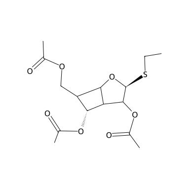 CCS[C@@H]1OC2C(COC(C)=O)[C@@H](OC(C)=O)C2C1OC(C)=O